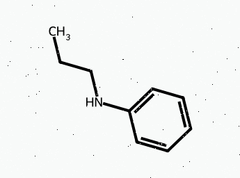 CCCNc1ccccc1